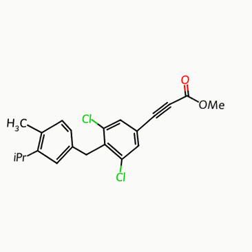 COC(=O)C#Cc1cc(Cl)c(Cc2ccc(C)c(C(C)C)c2)c(Cl)c1